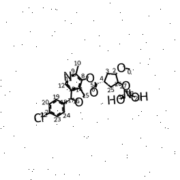 CO[C@H]1C[C@@H](C(=O)Oc2c(C)ncc3c2CO[C@H]3c2ccc(Cl)cc2)C[C@@H]1ON(O)O